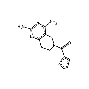 Nc1nc(N)c2c(n1)CCN(C(=O)c1cccs1)C2